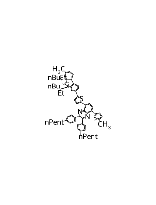 CCCCCc1ccc(-c2nc3c(-c4ccc(C)s4)ccc(-c4ccc(-c5ccc6c(c5)[Si](CC(CC)CCCC)(CC(CC)CCCC)c5cc(C)ccc5-6)s4)c3nc2-c2ccc(CCCCC)cc2)cc1